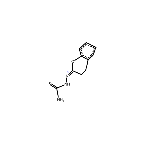 NC(=S)N/N=C1\CCc2ccccc2O1